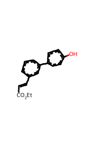 CCOC(=O)/C=C/c1cccc(-c2ccc(O)cc2)c1